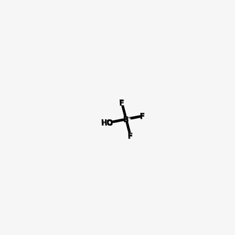 O[B-](F)(F)F